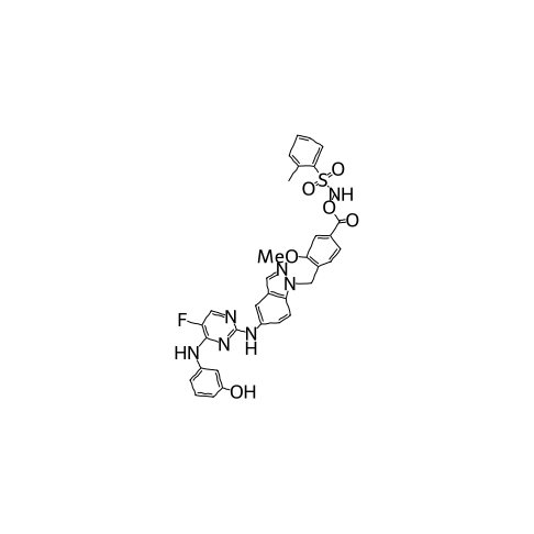 COc1cc(C(=O)ONS(=O)(=O)c2ccccc2C)ccc1Cn1ncc2cc(Nc3ncc(F)c(Nc4cccc(O)c4)n3)ccc21